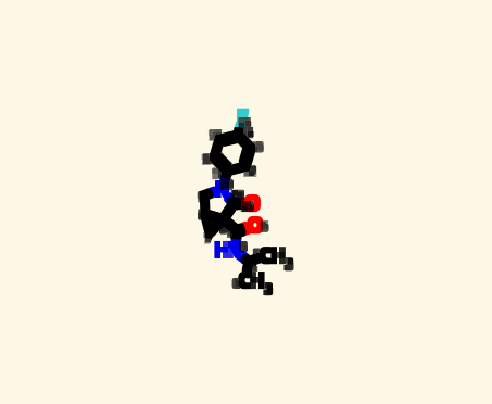 CC(C)NC(=O)C12CC1CN(c1ccc(F)cc1)C2=O